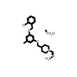 CC(=O)O.Cc1cc(OCc2ccccc2Cl)cc(OCC2CCN(/C=N\N)CC2)c1